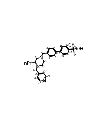 CCC[C@H]1CN(Cc2ccc(-c3ccc(C(C)(O)C(F)(F)F)cc3)cc2)CCN1Cc1ccncc1